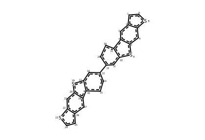 c1cc2cc3c(cc2s1)sc1cc(-c2ccc4c(c2)sc2cc5sccc5cc24)ccc13